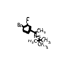 C/C(=N\SC(C)(C)C)c1ccc(Br)c(F)c1